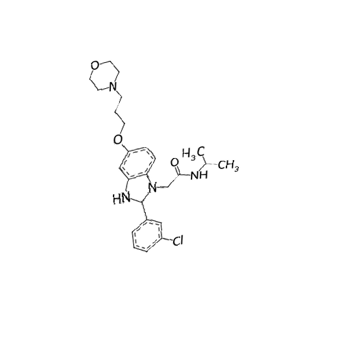 CC(C)NC(=O)CN1c2ccc(OCCCN3CCOCC3)cc2NC1c1cccc(Cl)c1